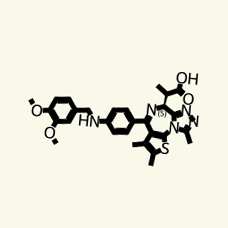 COc1ccc(CNc2ccc(C3=N[C@@H](C(C)C(=O)O)c4nnc(C)n4-c4sc(C)c(C)c43)cc2)cc1OC